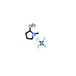 CCCC1CCCN1C.F[B-](F)(F)F